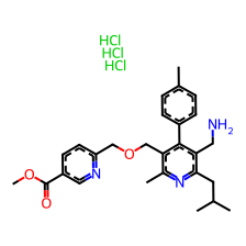 COC(=O)c1ccc(COCc2c(C)nc(CC(C)C)c(CN)c2-c2ccc(C)cc2)nc1.Cl.Cl.Cl